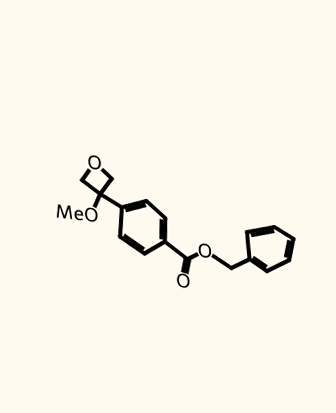 COC1(c2ccc(C(=O)OCc3ccccc3)cc2)COC1